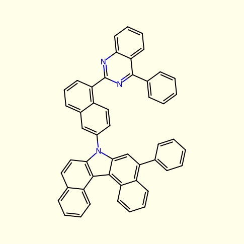 c1ccc(-c2nc(-c3cccc4cc(-n5c6ccc7ccccc7c6c6c7ccccc7c(-c7ccccc7)cc65)ccc34)nc3ccccc23)cc1